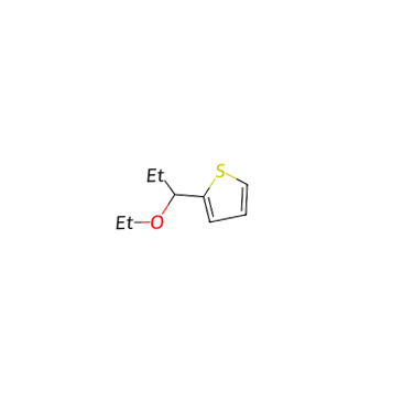 CCOC(CC)c1cccs1